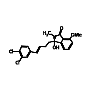 COc1cccc2c1C(=O)N(C)C2(O)CCC=Cc1ccc(Cl)c(Cl)c1